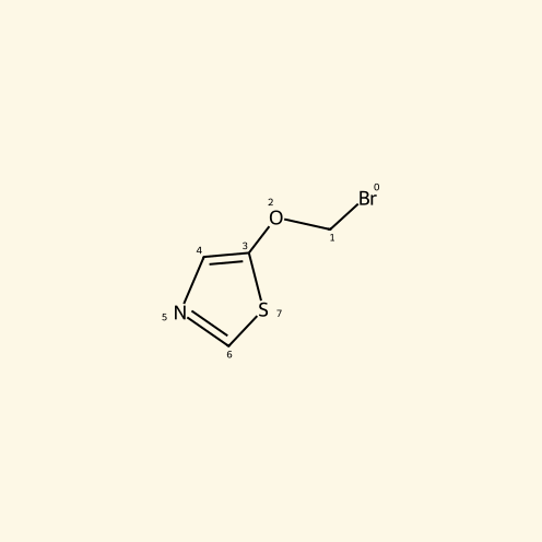 BrCOc1cncs1